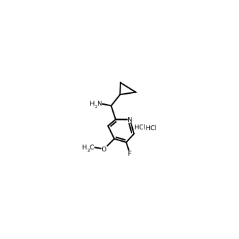 COc1cc(C(N)C2CC2)ncc1F.Cl.Cl